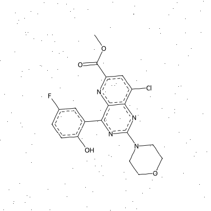 COC(=O)c1cc(Cl)c2nc(N3CCOCC3)nc(-c3cc(F)ccc3O)c2n1